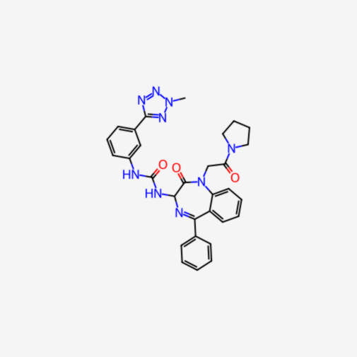 Cn1nnc(-c2cccc(NC(=O)NC3N=C(c4ccccc4)c4ccccc4N(CC(=O)N4CCCC4)C3=O)c2)n1